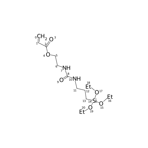 C=CC(=O)OCCNC(=O)NCCC[Si](OCC)(OCC)OCC